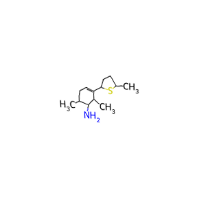 CC1CCC(C2=CCC(C)C(N)C2C)S1